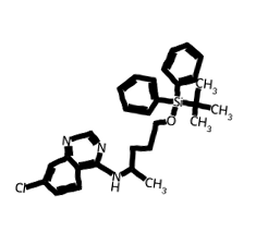 CC(CCCO[Si](c1ccccc1)(c1ccccc1)C(C)(C)C)Nc1ncnc2cc(Cl)ccc12